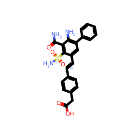 NC(=O)c1c(N)c(-c2ccccc2)cc(/C=C/c2ccc(CC(=O)O)cc2)c1S(N)(=O)=O